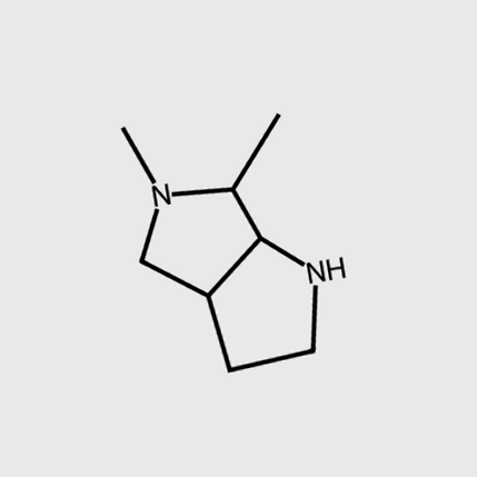 CC1C2NCCC2CN1C